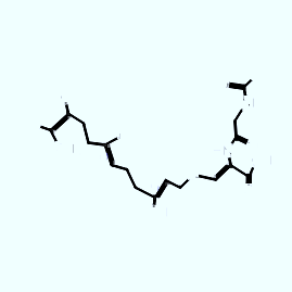 CC(=O)NCC(=O)N/C(=C\SC/C=C(\C)CC/C=C(\C)CCC(C)=C(C)C)C(=O)O